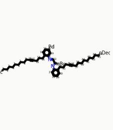 CCCCCCCCCCCCCCCCCCCC#CCCCc1ccccc1N=CC(CCCC)=Nc1ccccc1CCCC#CCCCCCCCCCCCCCCCCCCC.[Pd]